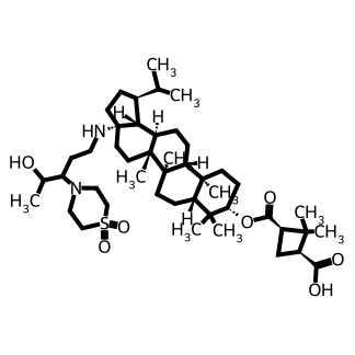 CC(O)C(CCN[C@]12CC[C@@H](C(C)C)[C@@H]1[C@H]1CC[C@@H]3[C@@]4(C)CC[C@H](OC(=O)[C@@H]5C[C@H](C(=O)O)C5(C)C)C(C)(C)[C@@H]4CC[C@@]3(C)[C@]1(C)CC2)N1CCS(=O)(=O)CC1